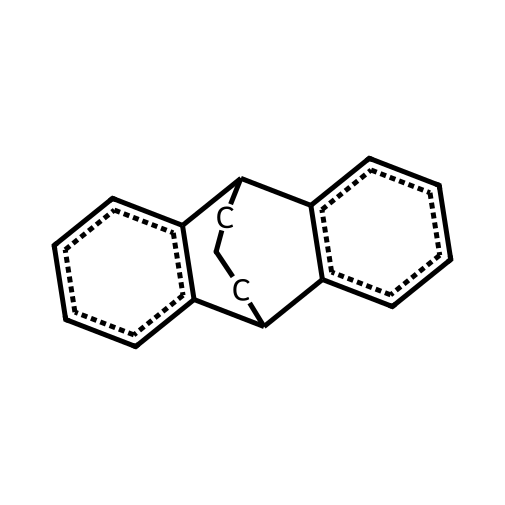 c1ccc2c(c1)C1CCCC2c2ccccc21